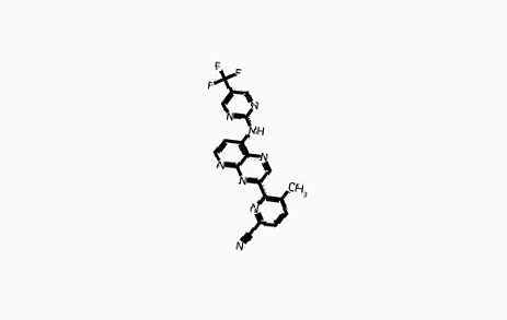 Cc1ccc(C#N)nc1-c1cnc2c(Nc3ncc(C(F)(F)F)cn3)ccnc2n1